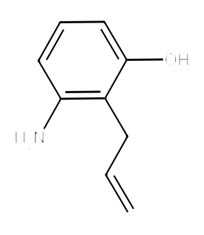 C=CCc1c(N)cccc1O